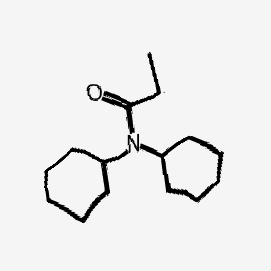 C[CH]C(=O)N(C1CCCCC1)C1CCCCC1